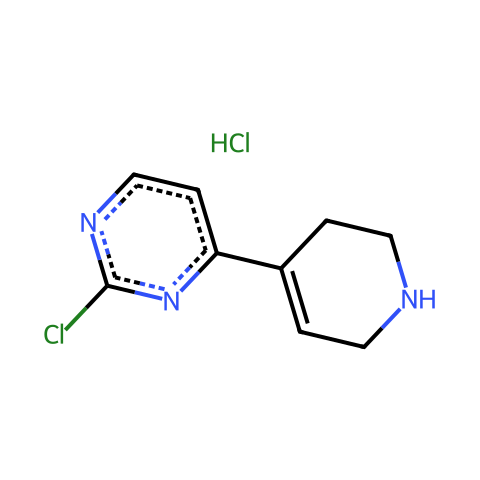 Cl.Clc1nccc(C2=CCNCC2)n1